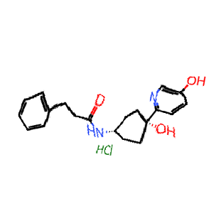 Cl.O=C(CCc1ccccc1)N[C@H]1CC[C@](O)(c2ccc(O)cn2)CC1